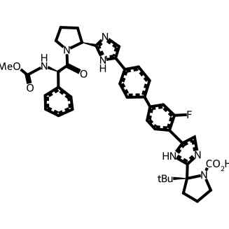 COC(=O)N[C@@H](C(=O)N1CCC[C@H]1c1ncc(-c2ccc(-c3ccc(-c4cnc([C@@]5(C(C)(C)C)CCCN5C(=O)O)[nH]4)c(F)c3)cc2)[nH]1)c1ccccc1